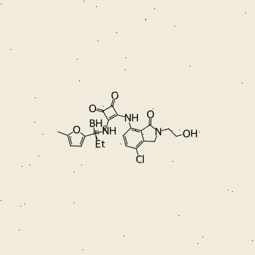 B[C@](CC)(Nc1c(Nc2ccc(Cl)c3c2C(=O)N(CCO)C3)c(=O)c1=O)c1ccc(C)o1